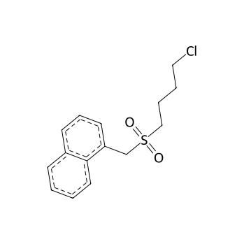 O=S(=O)(CCCCCl)Cc1cccc2ccccc12